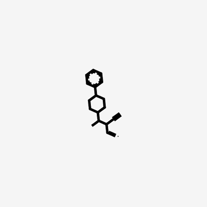 [CH]=CC(C#C)C(C)C1CCC(c2ccccc2)CC1